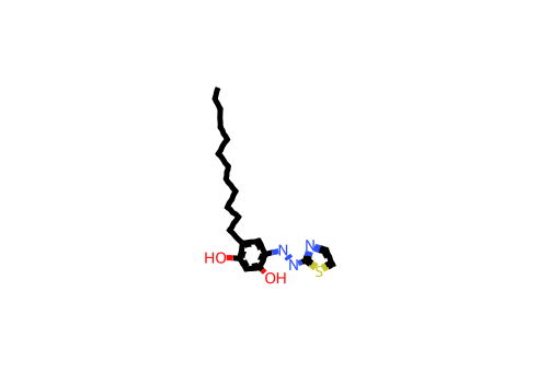 CCCCCCCCCCCCc1cc(N=Nc2nccs2)c(O)cc1O